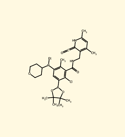 CCN(c1cc(B2OC(C)(C)C(C)(C)O2)c(Cl)c(C(=O)NCC2=C(C)C=C(C)NC2=C=O)c1C)C1CCOCC1